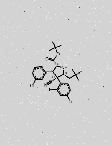 CC(C)(C)C[C@@H]1N[C@@H](C(=O)OC(C)(C)C)[C@H](c2cccc(Cl)c2)[C@@]1(C#N)c1ccc(Cl)cc1F